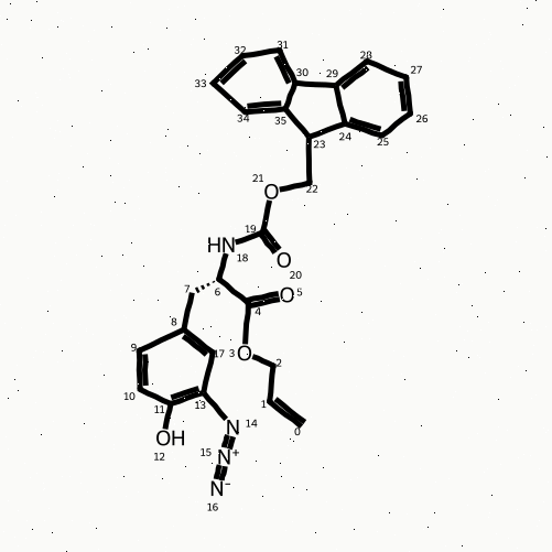 C=CCOC(=O)[C@H](Cc1ccc(O)c(N=[N+]=[N-])c1)NC(=O)OCC1c2ccccc2-c2ccccc21